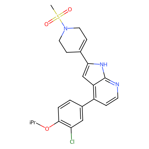 CC(C)Oc1ccc(-c2ccnc3[nH]c(C4=CCN(S(C)(=O)=O)CC4)cc23)cc1Cl